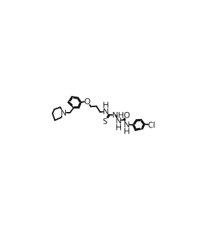 O=C(NNC(=S)NCCCOc1cccc(CN2CCCCC2)c1)Nc1ccc(Cl)cc1